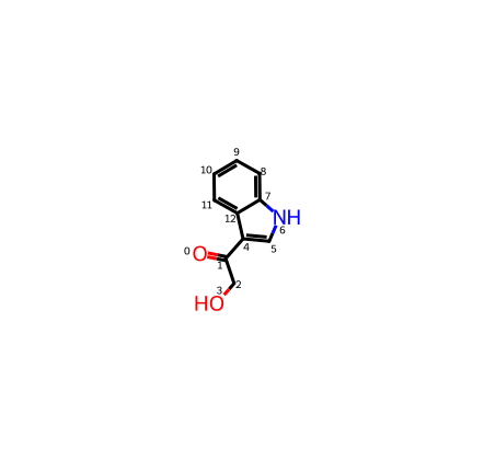 O=C(CO)c1c[nH]c2ccccc12